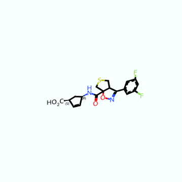 O=C(O)[C@@H]1C=C[C@H](NC(=O)C23CSCC2C(c2cc(F)cc(F)c2)=NO3)C1